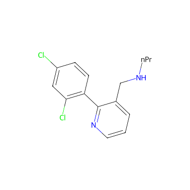 CCCNCc1cccnc1-c1ccc(Cl)cc1Cl